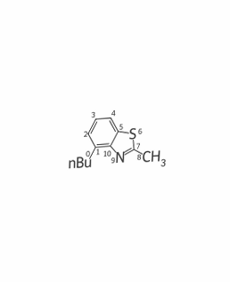 CCCCc1cccc2sc(C)nc12